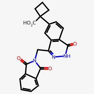 O=C1c2ccccc2C(=O)N1Cc1n[nH]c(=O)c2ccc(C3(C(=O)O)CCC3)cc12